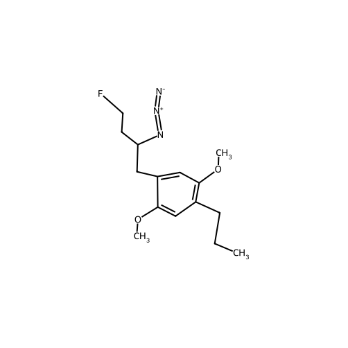 CCCc1cc(OC)c(CC(CCF)N=[N+]=[N-])cc1OC